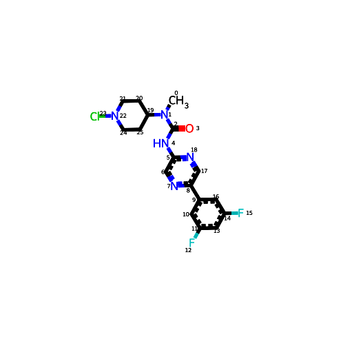 CN(C(=O)Nc1cnc(-c2cc(F)cc(F)c2)cn1)C1CCN(Cl)CC1